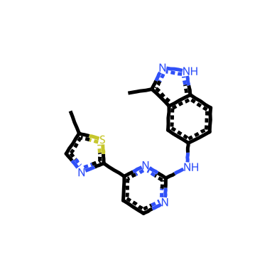 Cc1cnc(-c2ccnc(Nc3ccc4[nH]nc(C)c4c3)n2)s1